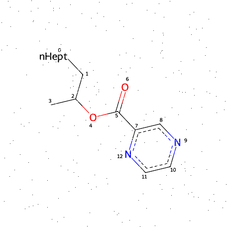 CCCCCCCCC(C)OC(=O)c1cnccn1